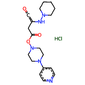 Cl.O=C=C(CC(=O)ON1CCN(c2ccncc2)CC1)NN1CCCCC1